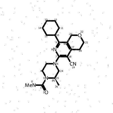 CNC(=O)N1CCN(c2nc(C3CCCCC3)c3c(c2C#N)CCOC3)C[C@H]1C